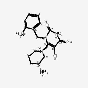 Nc1ccccc1Cn1c(N2CCC[C@@H](N)C2)c(Cl)c(=O)[nH]c1=O